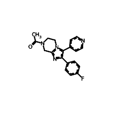 CC(=O)N1CCn2c(nc(-c3ccc(F)cc3)c2-c2ccncc2)C1